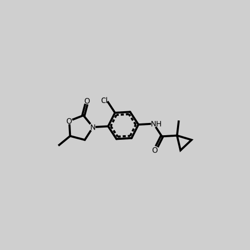 CC1CN(c2ccc(NC(=O)C3(C)CC3)cc2Cl)C(=O)O1